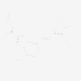 CCOC(=O)c1cc2c(N(C)C)ccc(/N=N/c3snc(C)c3C#N)c2s1